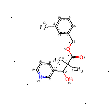 CC(C)(C(=O)OCc1cccc(C(F)(F)F)c1)C(O)c1cccnc1